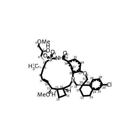 COC[C@@H](O)C[C@H]1[C@@H](C)C/C=C/[C@H](OC)[C@@H]2CC[C@H]2CN2C[C@@]3(CCCc4cc(Cl)ccc43)COc3ccc(cc32)C(=O)NS1(=O)=O